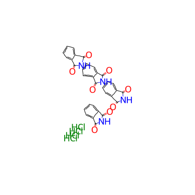 Cl.Cl.Cl.Cl.O=C1NC(=O)c2ccccc21.O=C1NC(=O)c2ccccc21.O=C1NC(=O)c2ccccc21.O=C1NC(=O)c2ccccc21